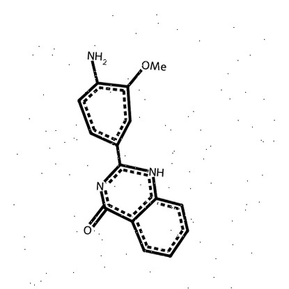 COc1cc(-c2nc(=O)c3ccccc3[nH]2)ccc1N